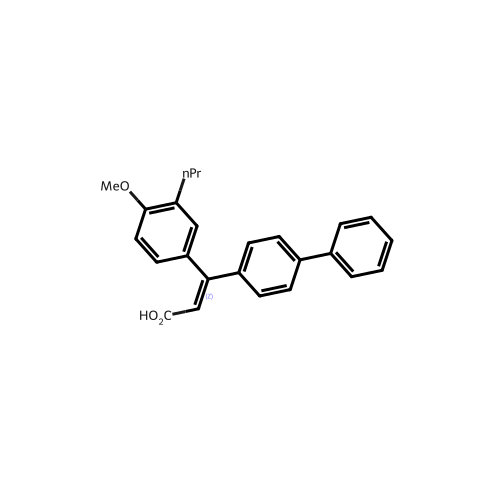 CCCc1cc(/C(=C\C(=O)O)c2ccc(-c3ccccc3)cc2)ccc1OC